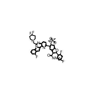 CNC(=O)c1c(-c2ccc(F)cc2F)oc2cc(N(C)S(C)(=O)=O)c(-c3ccc4nc(CN5CCC(F)(F)CC5)n5c6cccc(F)c6cc5c4n3)cc12